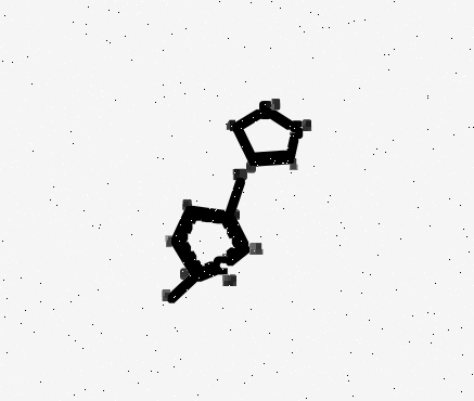 C1=CSSC1.Cc1ccc(C)cc1